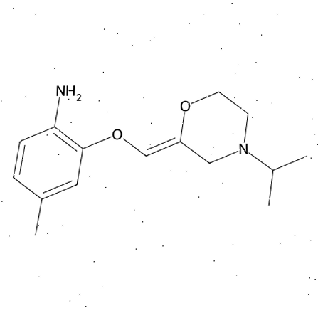 Cc1ccc(N)c(OC=C2CN(C(C)C)CCO2)c1